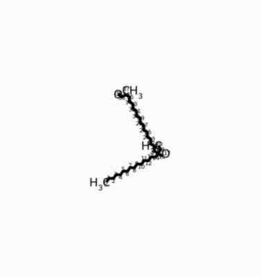 CCCCCCCCCCCCCCCC(C=O)(CC)CCCCCCCCCCCCCCCCC(C)C=O